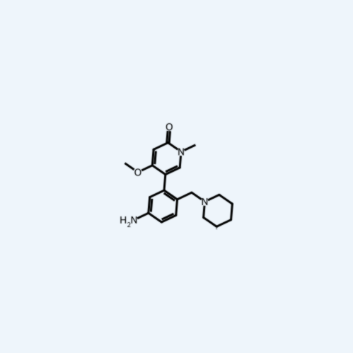 COc1cc(=O)n(C)cc1-c1cc(N)ccc1CN1C[CH]CCC1